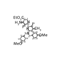 CCOC(=O)c1cnc(-c2nc(N(Cc3ccc(OC)cc3)Cc3ccc(OC)cc3)cc(C)c2I)c(F)c1N